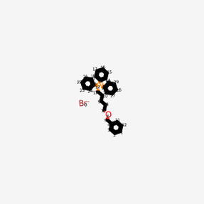 [Br-].c1ccc(COCCCCC[P+](c2ccccc2)(c2ccccc2)c2ccccc2)cc1